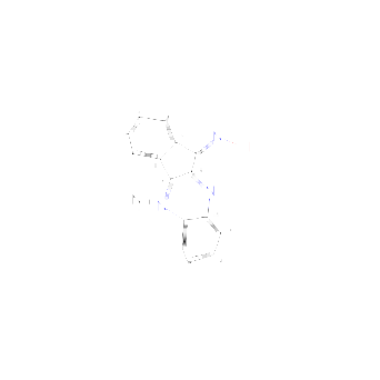 ON=C1c2ccccc2-c2nc3ccccc3nc21.[Na]